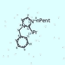 CCCCC[n+]1ccn(Cc2ccccc2)c1C(C)C